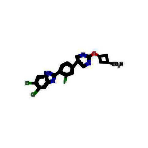 O=C(O)[C@H]1C[C@@H](Oc2ncc(-c3ccc(-c4nc5cc(Cl)c(Cl)cc5[nH]4)c(F)c3)cn2)C1